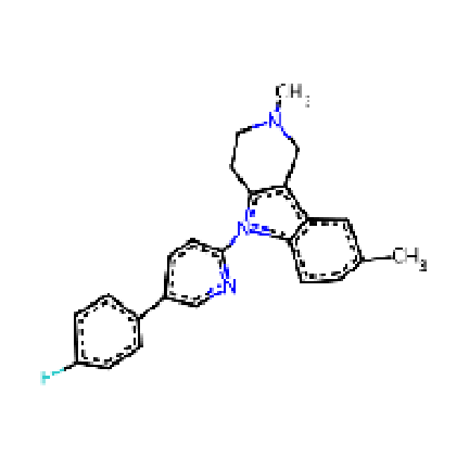 Cc1ccc2c(c1)c1c(n2-c2ccc(-c3ccc(F)cc3)cn2)CCN(C)C1